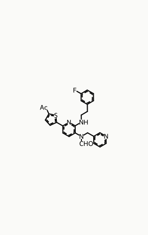 CC(=O)c1ccc(-c2ccc(N(C=O)Cc3cccnc3)c(NCCc3cccc(F)c3)n2)s1